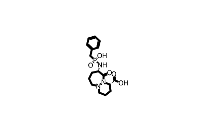 O=C(O)[C@@H]1CCCN2CCC[C@H](NP(=O)(O)Cc3ccccc3)C(=O)N12